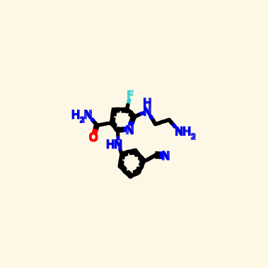 N#Cc1cccc(Nc2nc(NCCN)c(F)cc2C(N)=O)c1